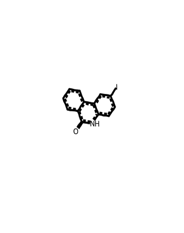 O=c1[nH]c2ccc(I)cc2c2ccccc12